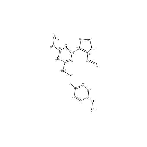 COc1ccc(CCNc2cc(-c3ccsc3C=O)nc(OC)n2)cc1